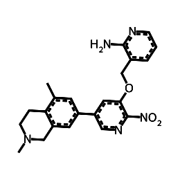 Cc1cc(-c2cnc([N+](=O)[O-])c(OCc3cccnc3N)c2)cc2c1CCN(C)C2